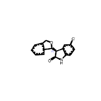 O=C1Nc2ccc(Cl)cc2/C1=C1\OCc2ccccc21